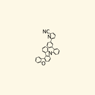 N#Cc1cccc(-c2cccc(-c3ccccc3-n3c4ccccc4c4c5c(ccc43)oc3ccccc35)c2)n1